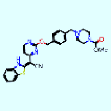 COC(=O)N1CCN(Cc2ccc(COc3nccc(C(C#N)=C4Nc5ccccc5S4)n3)cc2)CC1